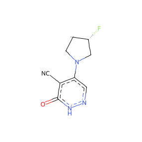 N#Cc1c(N2C[CH][C@H](F)C2)cn[nH]c1=O